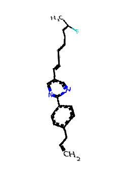 C=CCc1ccc(-c2ncc(C=CCCCC(C)F)cn2)cc1